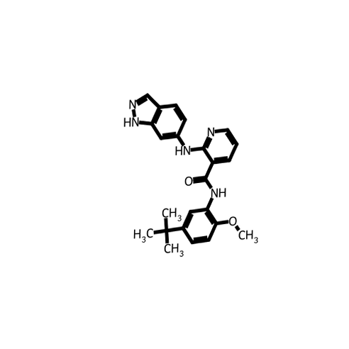 COc1ccc(C(C)(C)C)cc1NC(=O)c1cccnc1Nc1ccc2cn[nH]c2c1